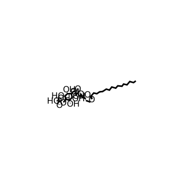 CCCCCCCCCCCCCCCC(=O)O[C@H](CC)COP(=O)(O)OC1C(O)[C@H](O)C(OP(=O)(O)O)[C@H](O)[C@@H]1O